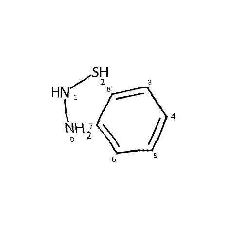 NNS.c1ccccc1